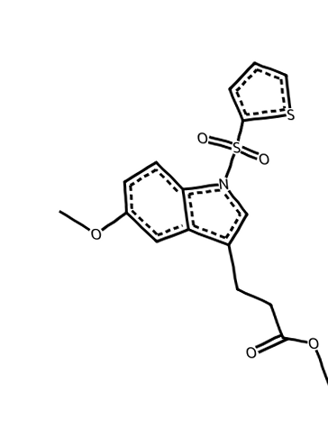 COC(=O)CCc1cn(S(=O)(=O)c2cccs2)c2ccc(OC)cc12